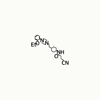 CCOc1ccccc1N1CCN(CCC2CCC(NC(=O)CCCC#N)CC2)CC1